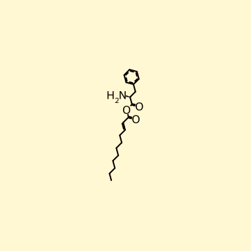 CCCCCCCCC=CC(=O)OC(=O)[C@@H](N)Cc1ccccc1